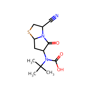 CC(C)(C)N(C(=O)O)C1CC2SCC(C#N)N2C1=O